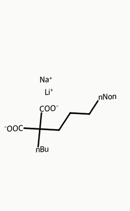 CCCCCCCCCCCCC(CCCC)(C(=O)[O-])C(=O)[O-].[Li+].[Na+]